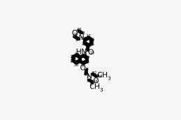 C[C@@H]1CN(CCOc2ccc(NC(=O)c3cccc(N4CCOCC4)c3)c3ccccc23)C[C@H](C)O1